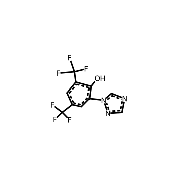 Oc1c(-n2cncn2)cc(C(F)(F)F)cc1C(F)(F)F